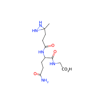 CC1(CCC(=O)NC(CCC(N)=O)C(=O)NCC(=O)O)NN1